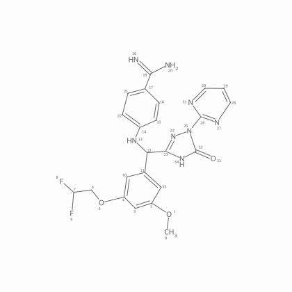 COc1cc(OCC(F)F)cc(C(Nc2ccc(C(=N)N)cc2)c2nn(-c3ncccn3)c(=O)[nH]2)c1